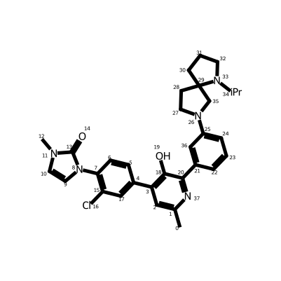 Cc1cc(-c2ccc(-n3ccn(C)c3=O)c(Cl)c2)c(O)c(-c2cccc(N3CCC4(CCCN4C(C)C)C3)c2)n1